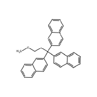 [SiH3]OCCC(c1ccc2ccccc2c1)(c1ccc2ccccc2c1)c1ccc2ccccc2c1